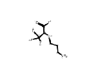 CCCCOC(C(=O)F)C(F)(F)F